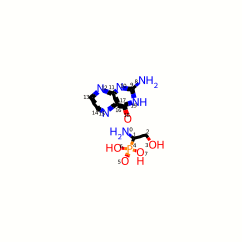 NC(CO)P(=O)(O)O.Nc1nc2nccnc2c(=O)[nH]1